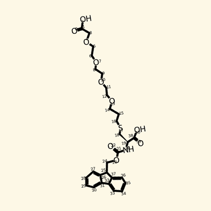 O=C(O)COCCOCCOCCOCCCSC[C@H](NC(=O)OCC1c2ccccc2-c2ccccc21)C(=O)O